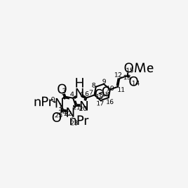 CCCn1c(=O)c2[nH]c(C34CCC(C=CC(=O)OC)(CC3)CC4)nc2n(CCC)c1=O